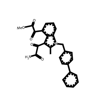 COC(=O)C(=O)c1cccc2c1c(C(=O)C(N)=O)c(C)n2Cc1ccc(-c2ccccc2)cc1